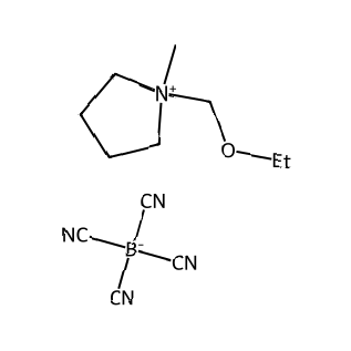 CCOC[N+]1(C)CCCC1.N#C[B-](C#N)(C#N)C#N